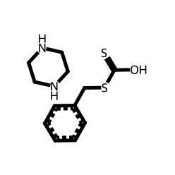 C1CNCCN1.OC(=S)SCc1ccccc1